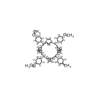 COc1ccc(-c2c3nc(c(-c4ccc(OC)cc4)c4ccc([nH]4)c(-c4ccc(OC)cc4)c4nc(c(-c5ccc(C)cc5)c5ccc2[nH]5)C=C4)C=C3)cc1